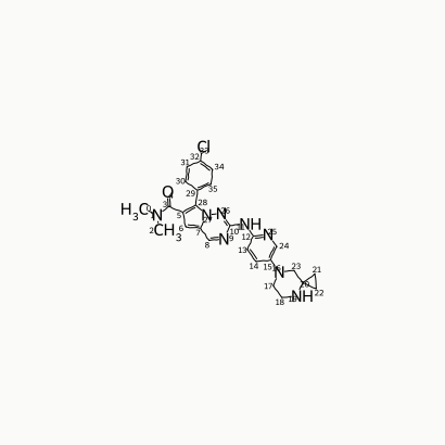 CN(C)C(=O)c1cc2cnc(Nc3ccc(N4CCNC5(CC5)C4)cn3)nn2c1-c1ccc(Cl)cc1